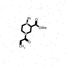 C=CC(=O)N1CCN(C(C)C)C(C(=O)OC)C1